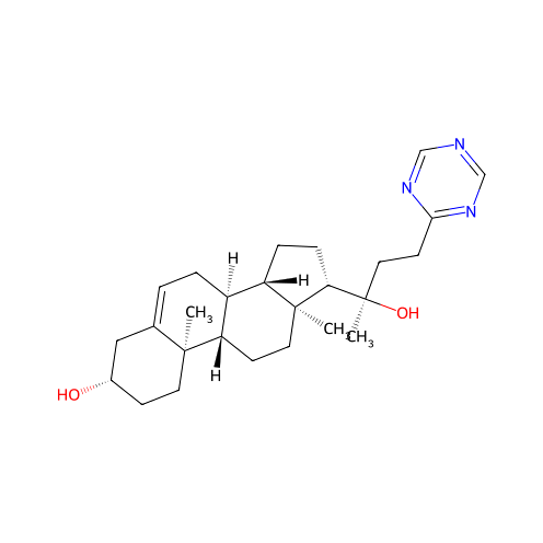 C[C@]12CC[C@H]3[C@@H](CC=C4C[C@@H](O)CC[C@@]43C)[C@@H]1CC[C@@H]2[C@](C)(O)CCc1ncncn1